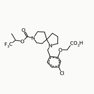 CC(OC(=O)N1CCC2(CCCN2Cc2ccc(Cl)cc2OCC(=O)O)CC1)C(F)(F)F